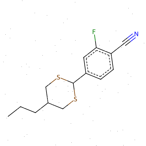 CCCC1CSC(c2ccc(C#N)c(F)c2)SC1